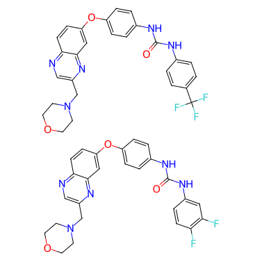 O=C(Nc1ccc(Oc2ccc3ncc(CN4CCOCC4)nc3c2)cc1)Nc1ccc(C(F)(F)F)cc1.O=C(Nc1ccc(Oc2ccc3ncc(CN4CCOCC4)nc3c2)cc1)Nc1ccc(F)c(F)c1